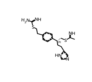 CC(=N)SC[C@H](CCc1cnc[nH]1)c1ccc(CCSC(=N)N)cc1